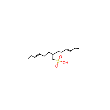 CCC=CCCC(CCC=CCC)CS(=O)(=O)O